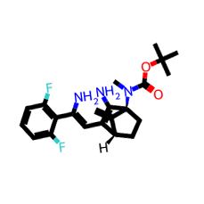 C=C1[C@@H]2CC[C@@]1(N(C)C(=O)OC(C)(C)C)C(N)=C2/C=C(\N)c1c(F)cccc1F